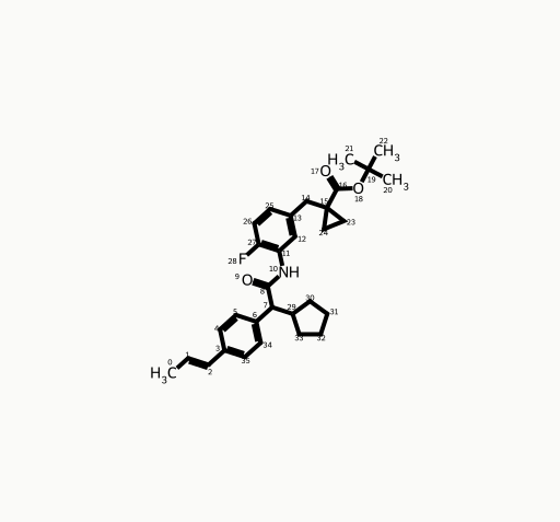 C/C=C/c1ccc(C(C(=O)Nc2cc(CC3(C(=O)OC(C)(C)C)CC3)ccc2F)C2CCCC2)cc1